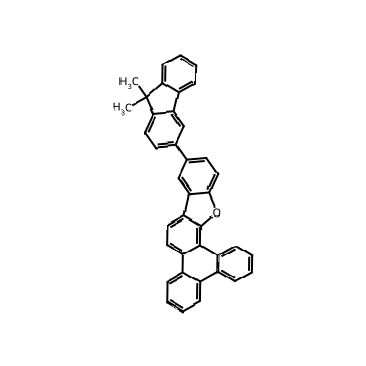 CC1(C)c2ccccc2-c2cc(-c3ccc4oc5c(ccc6c7ccccc7c7ccccc7c65)c4c3)ccc21